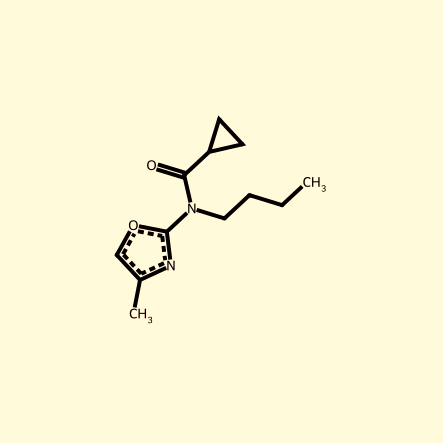 CCCCN(C(=O)C1CC1)c1nc(C)co1